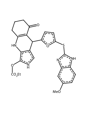 CCOC(=O)Oc1[nH]cc2c1NC1=C(C(=O)CCC1)C2c1ccc(Sc2nc3cc(OC)ccc3[nH]2)o1